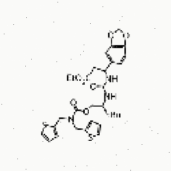 CCCC[C@@H](COC(=O)N(Cc1cccs1)Cc1cccs1)NC(=O)NC(CC(=O)OCC)c1ccc2c(c1)OCO2